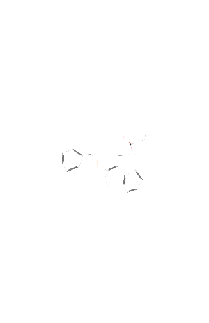 CCC(=O)OCC(=C(CC)P(=O)(O)Cc1ccccc1)c1ccccc1